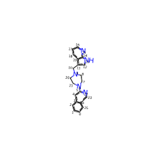 c1ccc2cc(N3CCN(Cc4c[nH]c5ncccc45)CC3)ncc2c1